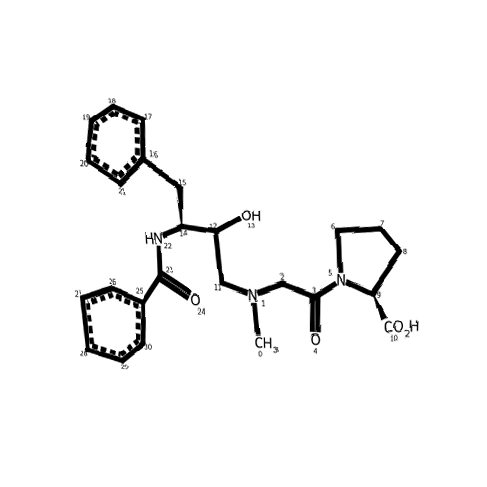 CN(CC(=O)N1CCC[C@H]1C(=O)O)CC(O)[C@H](Cc1ccccc1)NC(=O)c1ccccc1